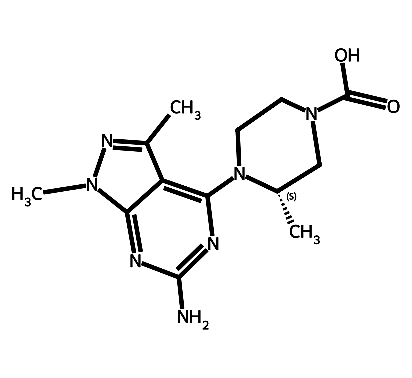 Cc1nn(C)c2nc(N)nc(N3CCN(C(=O)O)C[C@@H]3C)c12